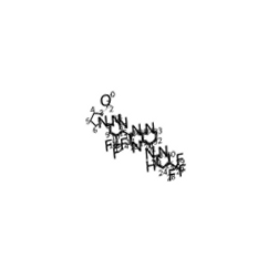 COC[C@H]1CCCN1c1cc(C(F)(F)F)c(-c2cnc3c(Nc4ccc(C(F)(F)F)cn4)ccnc3n2)nn1